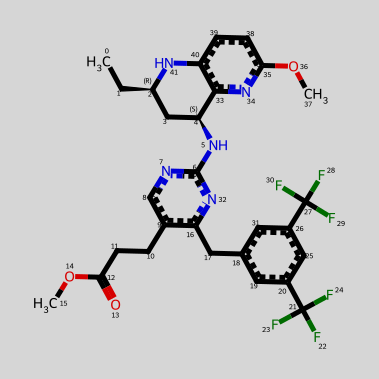 CC[C@@H]1C[C@H](Nc2ncc(CCC(=O)OC)c(Cc3cc(C(F)(F)F)cc(C(F)(F)F)c3)n2)c2nc(OC)ccc2N1